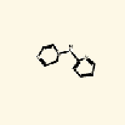 C1=CN(Nc2ccccn2)CC=N1